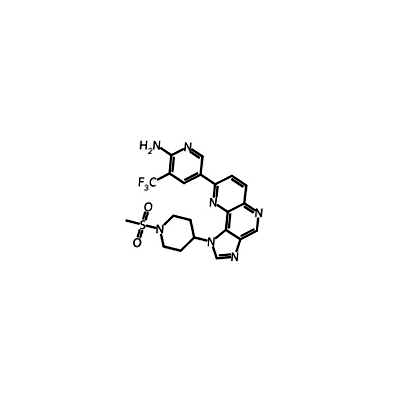 CS(=O)(=O)N1CCC(n2cnc3cnc4ccc(-c5cnc(N)c(C(F)(F)F)c5)nc4c32)CC1